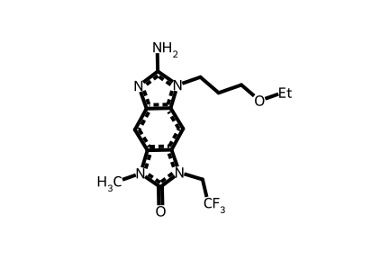 CCOCCCn1c(N)nc2cc3c(cc21)n(CC(F)(F)F)c(=O)n3C